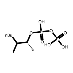 CCCCC(C)[C@@H](C)OP(=O)(O)OP(=O)(O)O